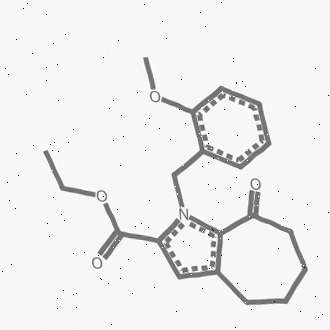 CCOC(=O)c1cc2c(n1Cc1ccccc1OC)C(=O)CCCC2